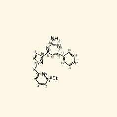 CCc1cccc(Cn2ccc(-c3cc(-c4ccccc4)nc(N)n3)n2)n1